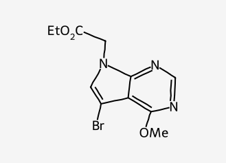 CCOC(=O)Cn1cc(Br)c2c(OC)ncnc21